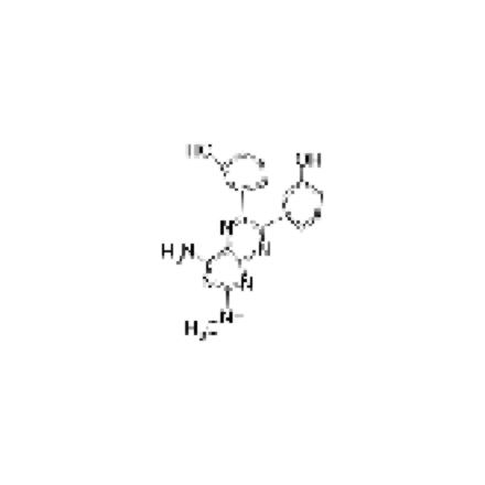 CNc1nc(N)c2nc(-c3cccc(O)c3)c(-c3cccc(O)c3)nc2n1